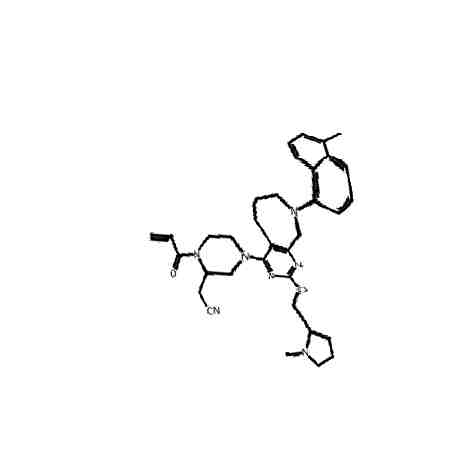 C=CC(=O)N1CCN(c2nc(OCC3CCCN3C)nc3c2CCCN(c2cccc4c(C)cccc24)C3)CC1CC#N